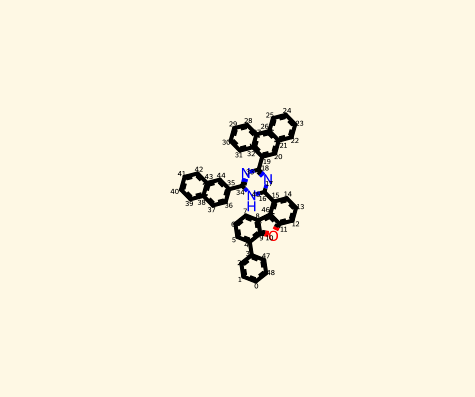 c1ccc(-c2cccc3c2oc2cccc(C4N=C(c5cc6ccccc6c6ccccc56)N=C(c5ccc6ccccc6c5)N4)c23)cc1